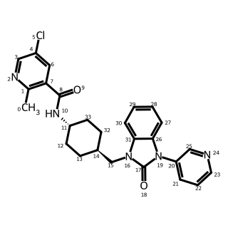 Cc1ncc(Cl)cc1C(=O)N[C@H]1CC[C@H](Cn2c(=O)n(-c3cccnc3)c3ccccc32)CC1